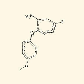 COc1ccc(Oc2ccc(F)cc2N)cc1